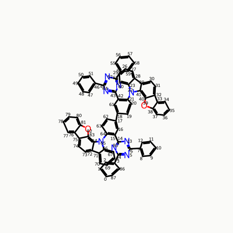 c1ccc(-c2nc(-c3ccccc3)nc(-c3cc(-c4ccc(-n5c6ccccc6c6ccc7c8ccccc8oc7c65)c(-c5nc(-c6ccccc6)nc(-c6ccccc6)n5)c4)ccc3-n3c4ccccc4c4ccc5c6ccccc6oc5c43)n2)cc1